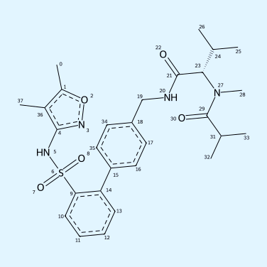 Cc1onc(NS(=O)(=O)c2ccccc2-c2ccc(CNC(=O)[C@H](C(C)C)N(C)C(=O)C(C)C)cc2)c1C